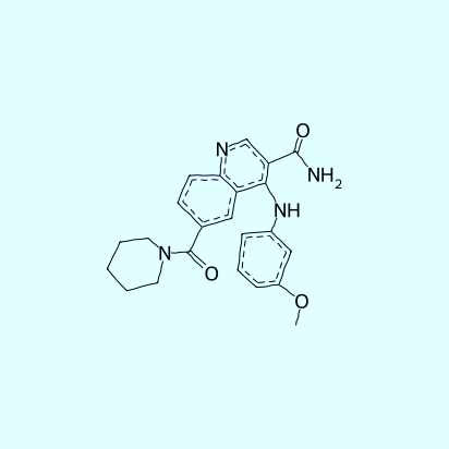 COc1cccc(Nc2c(C(N)=O)cnc3ccc(C(=O)N4CCCCC4)cc23)c1